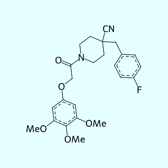 COc1cc(OCC(=O)N2CCC(C#N)(Cc3ccc(F)cc3)CC2)cc(OC)c1OC